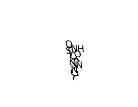 CC1CCN(c2nccc(C=C3SC(=O)NC3=O)n2)CC1